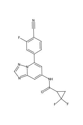 N#Cc1ccc(-c2cc(NC(=O)C3CC3(F)F)cc3ncnn23)cc1F